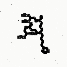 CCCCCCCCCCC(CCCCCCCC)COC(=O)CCCN(CCCCn1ccnc1)CCCC(=O)OCC(CCCCCCCC)CCCCCCCCCC